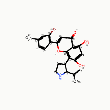 CC(=O)OC(C)C1NCCC1c1c(O)cc(O)c2c(=O)cc(-c3ccc([N+](=O)[O-])cc3Br)oc12